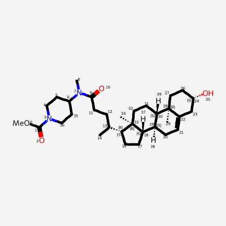 COC(=O)N1CCC(N(C)C(=O)CCC(C)[C@H]2CC[C@H]3[C@@H]4CC=C5C[C@@H](O)CC[C@]5(C)[C@H]4CC[C@]23C)CC1